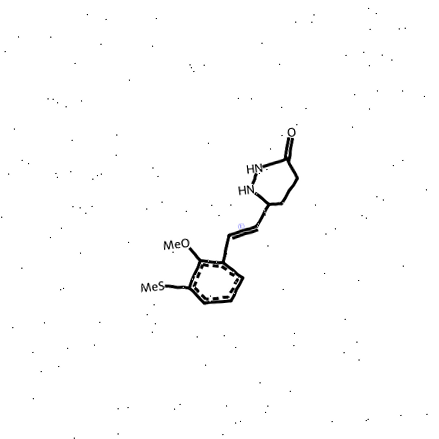 COc1c(/C=C/C2CCC(=O)NN2)cccc1SC